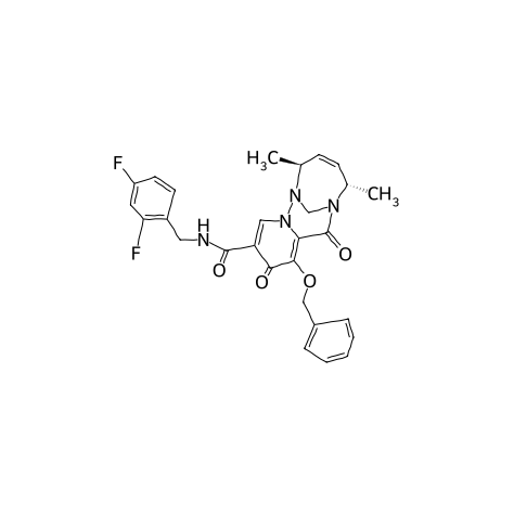 C[C@H]1C=C[C@H](C)N2CN1C(=O)c1c(OCc3ccccc3)c(=O)c(C(=O)NCc3ccc(F)cc3F)cn12